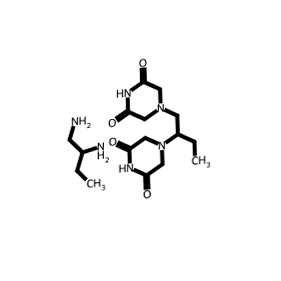 CCC(CN1CC(=O)NC(=O)C1)N1CC(=O)NC(=O)C1.CCC(N)CN